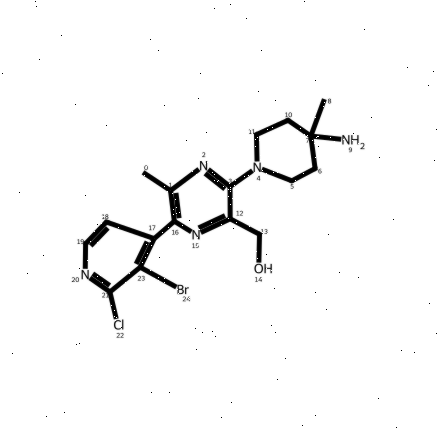 Cc1nc(N2CCC(C)(N)CC2)c(CO)nc1-c1ccnc(Cl)c1Br